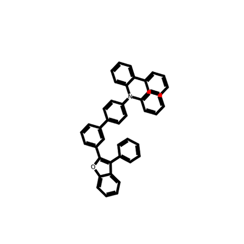 c1ccc(-c2ccccc2N(c2ccccc2)c2ccc(-c3cccc(-c4oc5ccccc5c4-c4ccccc4)c3)cc2)cc1